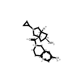 N[C@@H]1C[C@H]2CN(C3CC3)C[C@@]2(C(=O)N2CCc3ncc(C(F)(F)F)cc3C2)C1